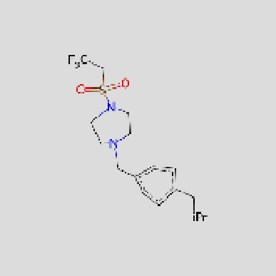 CC(C)Cc1ccc(CN2CCN(S(=O)(=O)CC(F)(F)F)CC2)cc1